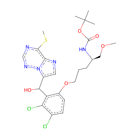 COC[C@@H](CCCOc1ccc(Cl)c(Cl)c1C(O)c1cnc2c(SC)ncnn12)NC(=O)OC(C)(C)C